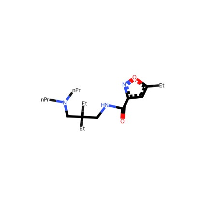 CCCN(CCC)CC(CC)(CC)CNC(=O)c1cc(CC)on1